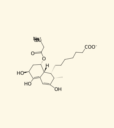 C[C@@H]1C(O)=CC2=C(O)[C@@H](O)C[C@H](OC(=O)CC(C)(C)C)[C@@H]2[C@@H]1CCCCCCC(=O)[O-].[Na+]